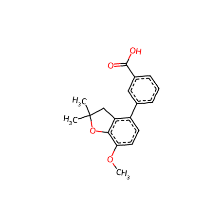 COc1ccc(-c2cccc(C(=O)O)c2)c2c1OC(C)(C)C2